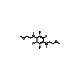 COCCN(C)c1c(F)c(F)c(N(C)CCOC)c(F)c1F